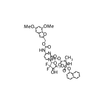 COc1cc(OC)c2oc(COC(=O)Nc3ccn(C4O[C@H](COP(=O)(N[C@@H](C)C(=O)OC(C)C)Oc5cccc6ccccc56)[C@@H](O)C4(F)F)c(=O)n3)cc2c1